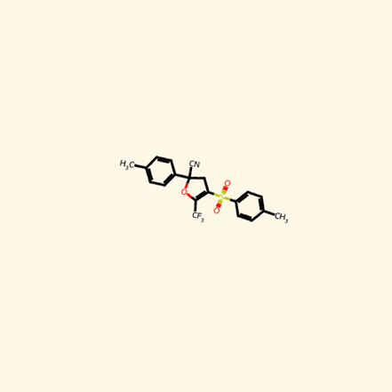 Cc1ccc(C2(C#N)CC(S(=O)(=O)c3ccc(C)cc3)=C(C(F)(F)F)O2)cc1